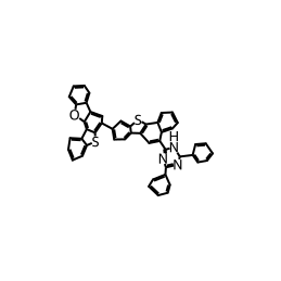 c1ccc(C2=NC(c3ccccc3)NC(c3cc4c5ccc(-c6cc7c8ccccc8oc7c7c6sc6ccccc67)cc5sc4c4ccccc34)=N2)cc1